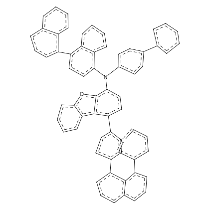 c1ccc(-c2ccc(N(c3ccc(-c4cccc5ccccc45)c4ccccc34)c3ccc(-c4ccc(-c5cccc6cccc(-c7ccccc7)c56)cc4)c4c3oc3ccccc34)cc2)cc1